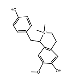 COc1cc2c(cc1O)CC[N+](C)(C)C2Cc1ccc(O)cc1